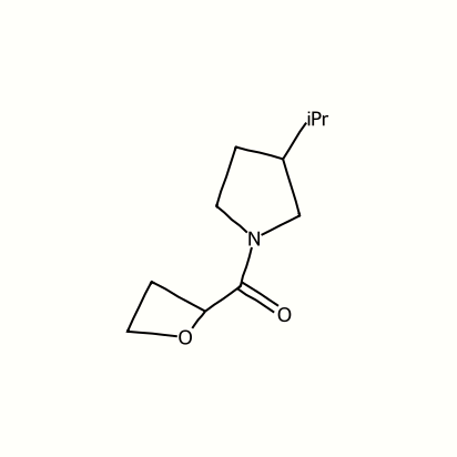 CC(C)C1CCN(C(=O)C2CCO2)C1